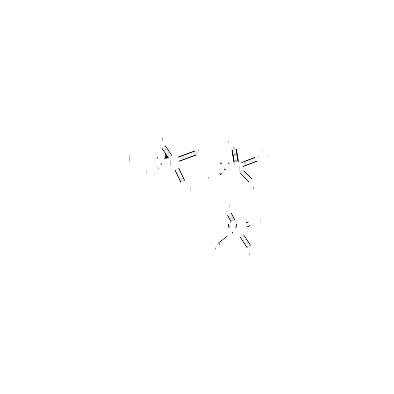 [In+3].[O]=[Mn](=[O])(=[O])[O-].[O]=[Mn](=[O])(=[O])[O-].[O]=[Mn](=[O])(=[O])[O-]